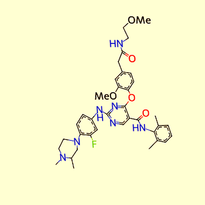 COCCNC(=O)Cc1ccc(Oc2nc(Nc3ccc(N4CCN(C)C(C)C4)c(F)c3)ncc2C(=O)Nc2c(C)cccc2C)c(OC)c1